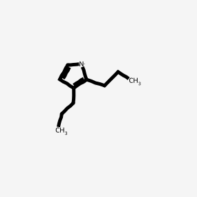 CCCC1=C(CCC)[N]C=C1